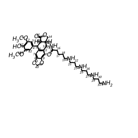 COc1cc(C2c3cc4c(cc3[C@@H](NC(=O)CCCCNCCCNCCCNCCCN)[C@H]3COC(=O)[C@H]23)OCO4)cc(OC)c1O